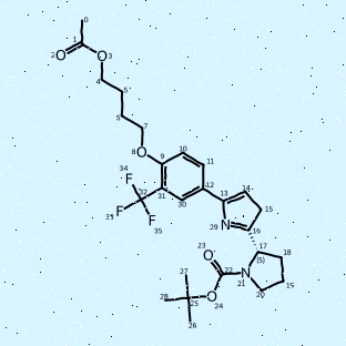 CC(=O)OCCCCOc1ccc(C2=CCC([C@@H]3CCCN3C(=O)OC(C)(C)C)=N2)cc1C(F)(F)F